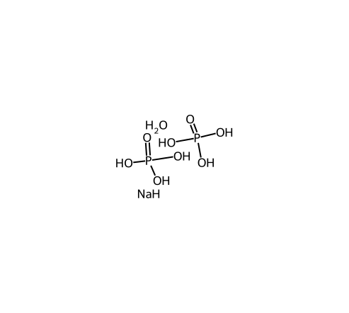 O.O=P(O)(O)O.O=P(O)(O)O.[NaH]